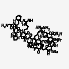 CC[C@H](C)[C@H](NC(=O)CNC(=O)[C@@H](NC(=O)[C@H](CC(=O)O)NC(=O)[C@H](CCCNC(=N)N)NC(=O)[C@H](Cc1c[nH]cn1)NC(=O)[C@H](CCCNC(=N)N)NC(=O)[C@@H]1CCCN1C(=O)[C@H](CC(C)C)NC(=O)[C@H](Cc1ccccc1)NC(=O)CN)[C@@H](C)O)C(=O)N[C@@H](CC(C)C)C(=O)N[C@@H](CC(=O)O)C(=O)N[C@@H](CO)C(=O)O